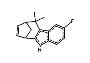 CC1(C)c2c([nH]c3ccc(F)cc23)C2C=CC1C2